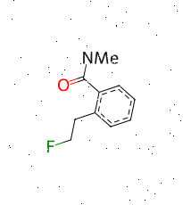 CNC(=O)c1ccccc1CCF